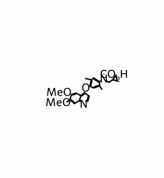 COc1cc2nccc(Oc3cc(C)c(N(CC4CC4)C(=O)O)cc3C)c2cc1OC